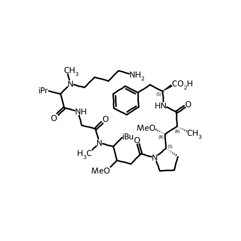 CCC(C)C(C(CC(=O)N1CCC[C@H]1[C@H](OC)[C@@H](C)C(=O)N[C@@H](Cc1ccccc1)C(=O)O)OC)N(C)C(=O)CNC(=O)C(C(C)C)N(C)CCCCN